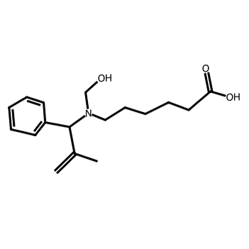 C=C(C)C(c1ccccc1)N(CO)CCCCCC(=O)O